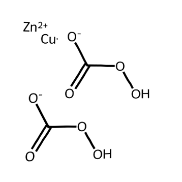 O=C([O-])OO.O=C([O-])OO.[Cu].[Zn+2]